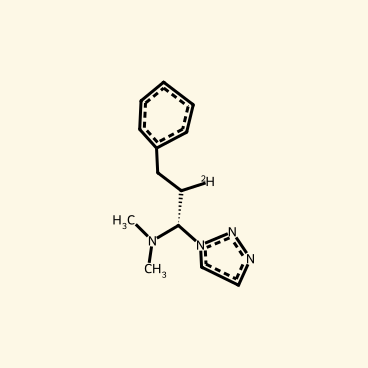 [2H]C(Cc1ccccc1)[C@@H](N(C)C)n1ccnn1